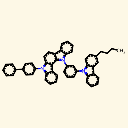 CCCCc1ccc2c(c1)c1ccccc1n2-c1cccc(-n2c3ccccc3c3ccc4c(c5ccccc5n4-c4ccc(-c5ccccc5)cc4)c32)c1